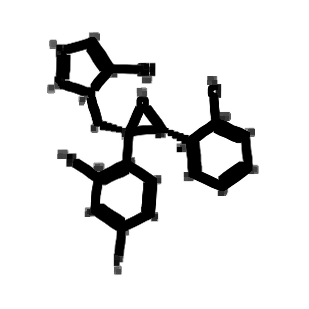 Fc1ccc([C@@]2(Cn3nncc3S)O[C@@H]2c2ccccc2Cl)c(F)c1